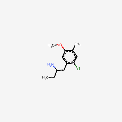 CCC(N)Cc1cc(OC)c(C)cc1Cl